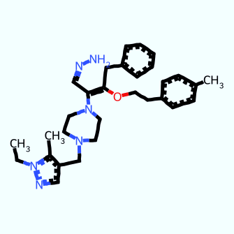 CCn1ncc(CN2CCN(C(/C=N\N)=C(/Cc3ccccc3)OCCc3ccc(C)cc3)CC2)c1C